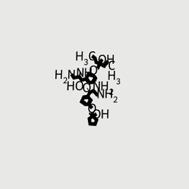 CCCC(O)(CCC)COc1ccc(O[C@@H](c2cccc(OCC3(O)CCCC3)c2)[C@H](N)CN)c([C@H](O)[C@H](N)CN)c1